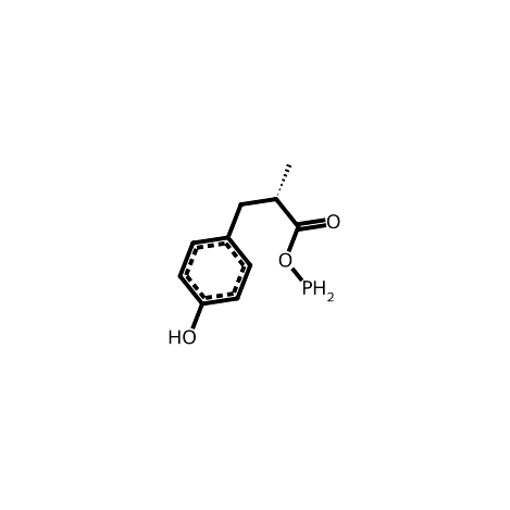 C[C@@H](Cc1ccc(O)cc1)C(=O)OP